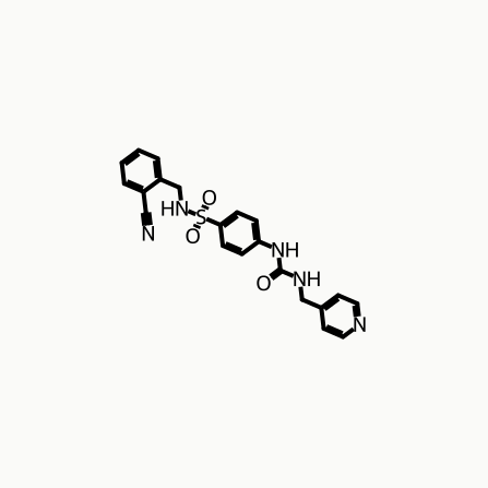 N#Cc1ccccc1CNS(=O)(=O)c1ccc(NC(=O)NCc2ccncc2)cc1